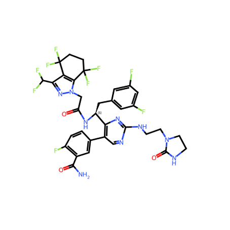 NC(=O)c1cc(-c2cnc(NCCN3CCNC3=O)nc2[C@H](Cc2cc(F)cc(F)c2)NC(=O)Cn2nc(C(F)F)c3c2C(F)(F)CCC3(F)F)ccc1F